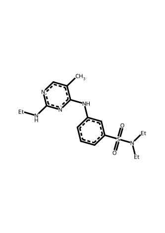 CCNc1ncc(C)c(Nc2cccc(S(=O)(=O)N(CC)CC)c2)n1